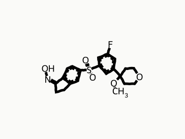 COC1(c2cc(F)cc(S(=O)(=O)c3ccc4c(c3)CC/C4=N/O)c2)CCOCC1